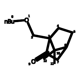 CCCCOCC12CCC(CC1=O)C2(C)C